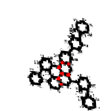 c1ccc(-c2ccccc2-c2c(-c3ccccc3)cccc2N(c2ccc(-c3ccc4c(c3)sc3ccccc34)cc2)c2cccc(-c3cccc4c3oc3ccccc34)c2)cc1